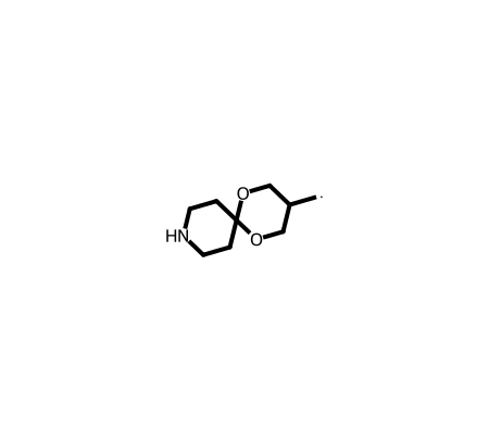 [CH2]C1COC2(CCNCC2)OC1